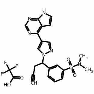 C#CCC(c1cccc(S(=O)(=O)N(C)C)c1)n1cc(-c2ncnc3[nH]ccc23)cn1.O=C(O)C(F)(F)F